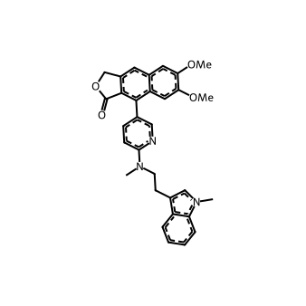 COc1cc2cc3c(c(-c4ccc(N(C)CCc5cn(C)c6ccccc56)nc4)c2cc1OC)C(=O)OC3